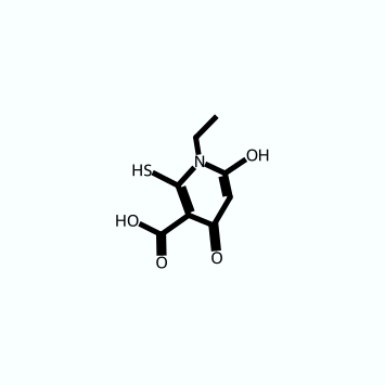 CCn1c(O)cc(=O)c(C(=O)O)c1S